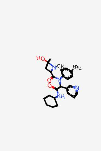 CC(C)(C)c1ccc(N(C(=O)C2CC(C)(O)N2C#N)C(C(=O)NC2CCCCC2)c2cccnc2)cc1